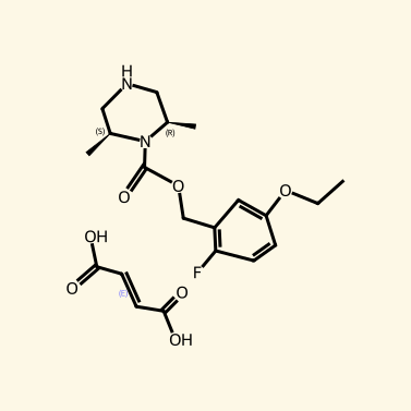 CCOc1ccc(F)c(COC(=O)N2[C@H](C)CNC[C@@H]2C)c1.O=C(O)/C=C/C(=O)O